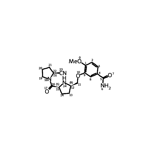 COc1ccc(C(N)=O)cc1OC[C@H]1CC[C@@H](C(=O)N2CCC[C@H]2C#N)N1